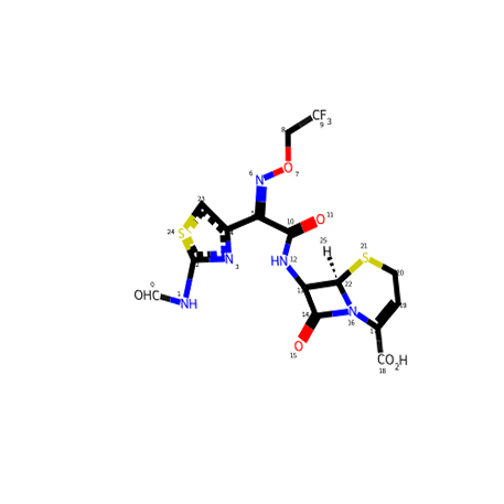 O=CNc1nc(/C(=N/OCC(F)(F)F)C(=O)NC2C(=O)N3C(C(=O)O)=CCS[C@H]23)cs1